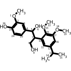 COc1cc(C(O)C(CO)c2cc(C(C)C)cc(OC)c2OC)ccc1O